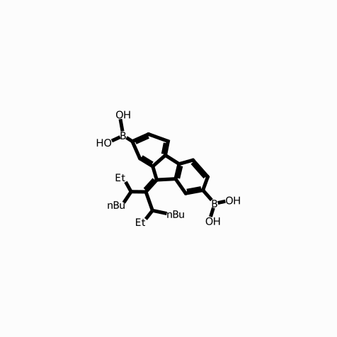 CCCCC(CC)C(=C1c2cc(B(O)O)ccc2-c2ccc(B(O)O)cc21)C(CC)CCCC